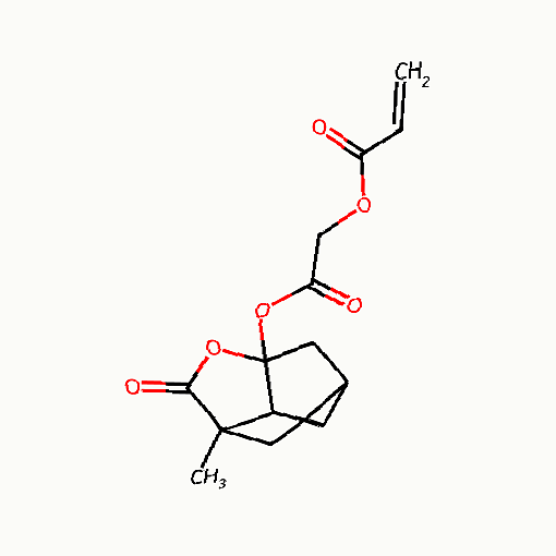 C=CC(=O)OCC(=O)OC12CC3CC1C(C)(C3)C(=O)O2